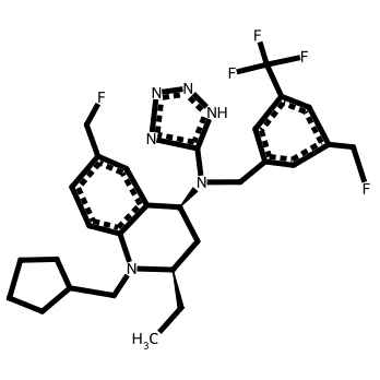 CC[C@@H]1C[C@H](N(Cc2cc(CF)cc(C(F)(F)F)c2)c2nnn[nH]2)c2cc(CF)ccc2N1CC1CCCC1